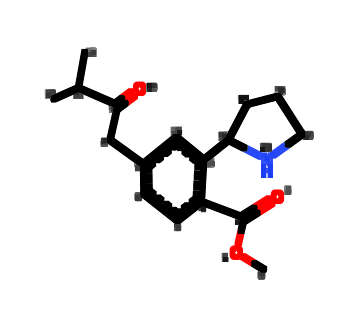 COC(=O)c1ccc(CC(=O)C(C)C)cc1C1CCCN1